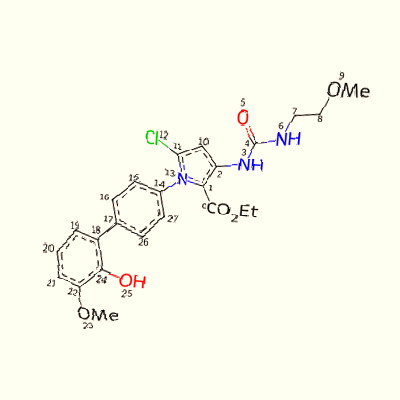 CCOC(=O)c1c(NC(=O)NCCOC)cc(Cl)n1-c1ccc(-c2cccc(OC)c2O)cc1